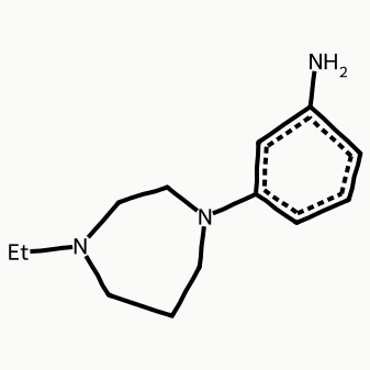 CCN1CCCN(c2cccc(N)c2)CC1